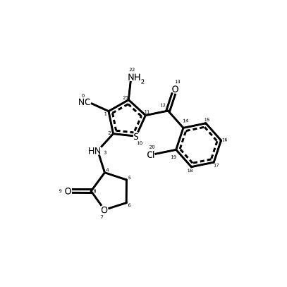 N#Cc1c(NC2CCOC2=O)sc(C(=O)c2ccccc2Cl)c1N